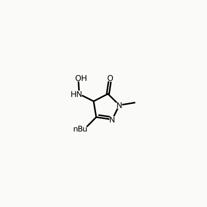 CCCCC1=NN(C)C(=O)C1NO